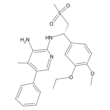 CCOc1cc([C@@H](CS(C)(=O)=O)Nc2ncc(-c3ccccc3)c(C)c2N)ccc1OC